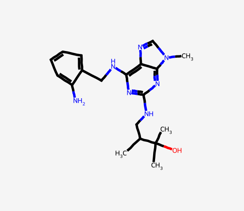 CC(CNc1nc(NCc2ccccc2N)c2ncn(C)c2n1)C(C)(C)O